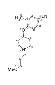 COCCCN1CCC(Oc2ccc(C#N)cc2C)CC1